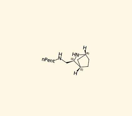 CCCCCNC[C@H]1N[C@@H]2CC[C@H]1C2